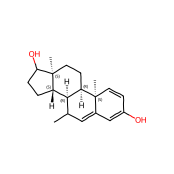 CC1C=C2C=C(O)C=C[C@]2(C)[C@@H]2CC[C@]3(C)C(O)CC[C@H]3[C@H]12